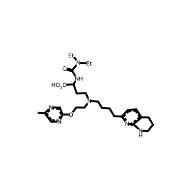 CCN(CC)C(=O)NC(CCN(CCCCc1ccc2c(n1)NCCC2)CCOc1cnc(C)cn1)C(=O)O